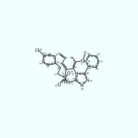 C=C/C=C(OC)\C(=C(/C)OC)n1c(NS(=O)(=O)CCc2ccc(Cl)cc2)nnc1-c1ccccn1